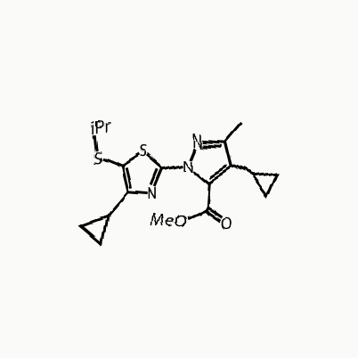 COC(=O)c1c(C2CC2)c(C)nn1-c1nc(C2CC2)c(SC(C)C)s1